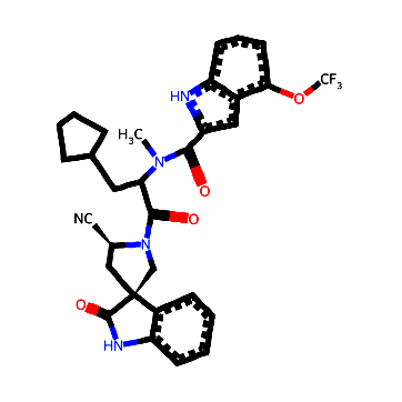 CN(C(=O)c1cc2c(OC(F)(F)F)cccc2[nH]1)C(CC1CCCC1)C(=O)N1C[C@]2(C[C@H]1C#N)C(=O)Nc1ccccc12